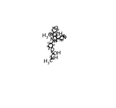 CNCC(O)COc1cccc(-c2nc(-c3ccncc3)c(C)c(N(C)C3CCOCC3)n2)c1